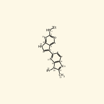 CCNc1ncc2c(-c3ccc4nc(C)n(C(C)C)c4n3)c[nH]c2n1